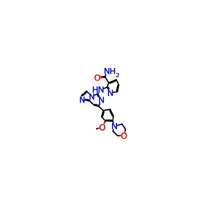 COc1cc(-c2cc3nccn3c(Nc3ncccc3C(N)=O)n2)ccc1N1CCOCC1